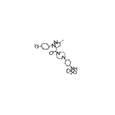 COc1ccc(-n2nc(C)cc2C(=O)N2CCN(c3ccc(NS(C)(=O)=O)cc3)CC2)cc1